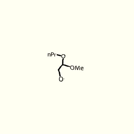 CCCOC(C[O])OC